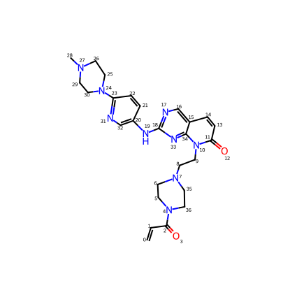 C=CC(=O)N1CCN(CCn2c(=O)ccc3cnc(Nc4ccc(N5CCN(C)CC5)nc4)nc32)CC1